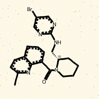 Cc1ccc2cccc(C(=O)N3CCCC[C@H]3CNc3ncc(Br)cn3)c2n1